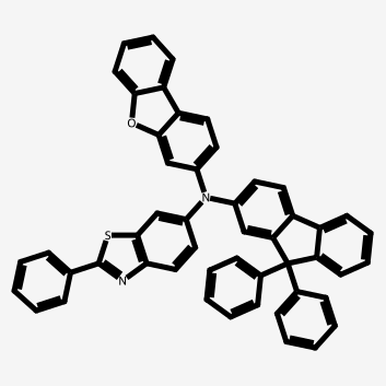 c1ccc(-c2nc3ccc(N(c4ccc5c(c4)C(c4ccccc4)(c4ccccc4)c4ccccc4-5)c4ccc5c(c4)oc4ccccc45)cc3s2)cc1